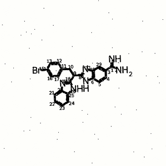 N=C(N)c1ccc2[nH]c(C(Cc3ccc(Br)cc3)c3nc4ccccc4[nH]3)nc2c1